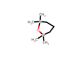 C[Si]1(C)CCC[Si](C)(C)O1